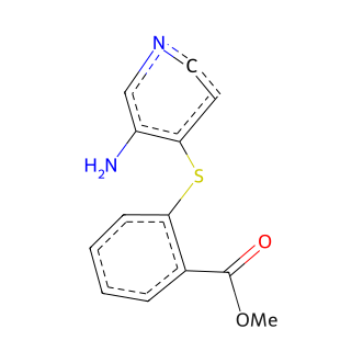 COC(=O)c1ccccc1Sc1ccncc1N